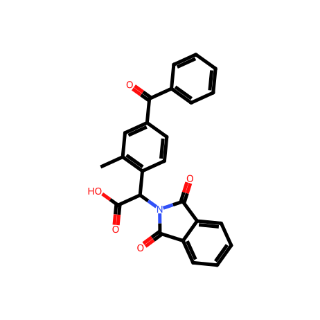 Cc1cc(C(=O)c2ccccc2)ccc1C(C(=O)O)N1C(=O)c2ccccc2C1=O